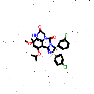 COC1(C)C=C(OC(C)C)C2(C)C3=N[C@@H](c4ccc(Cl)cc4)[C@@H](c4cccc(Cl)c4)N3C(=O)N3CC(=O)NC1=C32